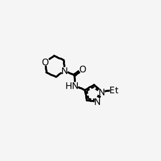 CCn1cc(NC(=O)N2CCOCC2)cn1